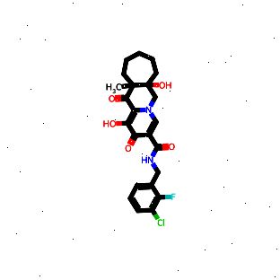 CC12CCCCCC1(O)Cn1cc(C(=O)NCc3cccc(Cl)c3F)c(=O)c(O)c1C2=O